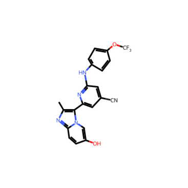 Cc1nc2ccc(O)cn2c1-c1cc(C#N)cc(Nc2ccc(OC(F)(F)F)cc2)n1